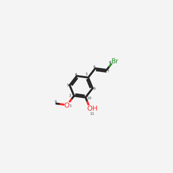 COc1ccc(C=CBr)cc1O